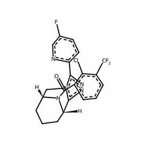 O=C(c1cccc(C(F)(F)F)c1Cl)N1[C@@H]2CCC[C@H]1c1nnc(-c3ccc(F)cn3)n1C2